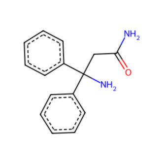 NC(=O)CC(N)(c1ccccc1)c1ccccc1